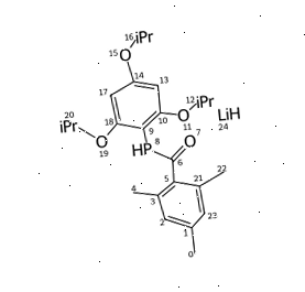 Cc1cc(C)c(C(=O)Pc2c(OC(C)C)cc(OC(C)C)cc2OC(C)C)c(C)c1.[LiH]